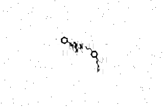 COCCNc1ccc(CCNc2nc(N)n3nc(-c4cccc(F)c4)nc3n2)cc1